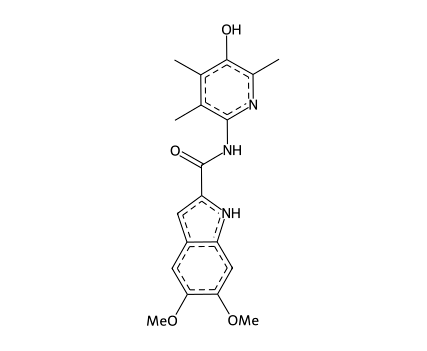 COc1cc2cc(C(=O)Nc3nc(C)c(O)c(C)c3C)[nH]c2cc1OC